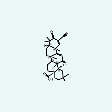 CC1(C)CC[C@]2(C(=O)O)CC[C@]3(C)[C@H](C(=O)C=C4[C@@]5(C)C=C(C#N)C(=O)C(C)(C)[C@H]5CC[C@]43C)[C@@H]2C1